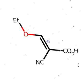 CCO/C=C(\C#N)C(=O)O